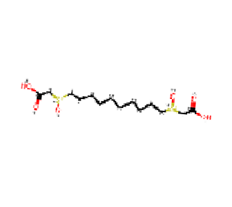 O=C(O)C[S+]([O-])CCCCCCCCCC[S+]([O-])CC(=O)O